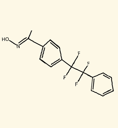 CC(=NO)c1ccc(C(F)(F)C(F)(F)c2ccccc2)cc1